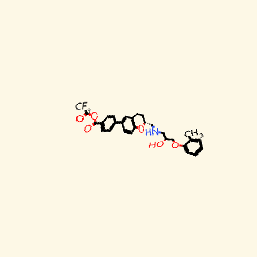 Cc1ccccc1OCC(O)CNC[C@H]1CCc2cc(-c3ccc(C(=O)OC(=O)C(F)(F)F)cc3)ccc2O1